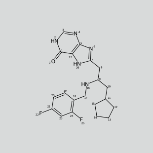 O=c1[nH]cnc2nc(CC(CC3CCCC3)NCc3ccc(F)cc3F)[nH]c12